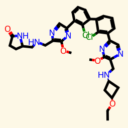 CCO[C@H]1C[C@H](NCc2ncc(-c3cccc(-c4cccc(-c5cnc(CNCC6CCC(=O)N6)c(OC)n5)c4Cl)c3Cl)nc2OC)C1